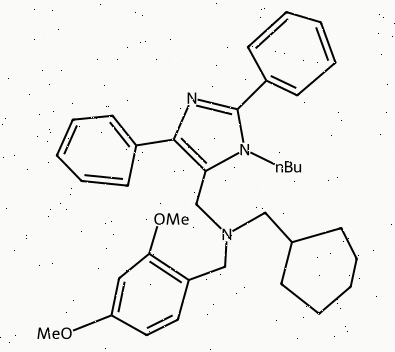 CCCCn1c(-c2ccccc2)nc(-c2ccccc2)c1CN(Cc1ccc(OC)cc1OC)CC1CCCCC1